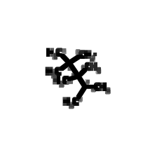 [CH2]C(C)(C)C(C)(C)C(C)C